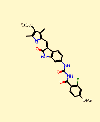 CCOC(=O)c1c(C)[nH]c(/C=C2\C(=O)Nc3cc(NC(=O)NC(=O)c4ccc(OC)cc4F)ccc32)c1C